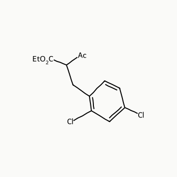 CCOC(=O)C(Cc1ccc(Cl)cc1Cl)C(C)=O